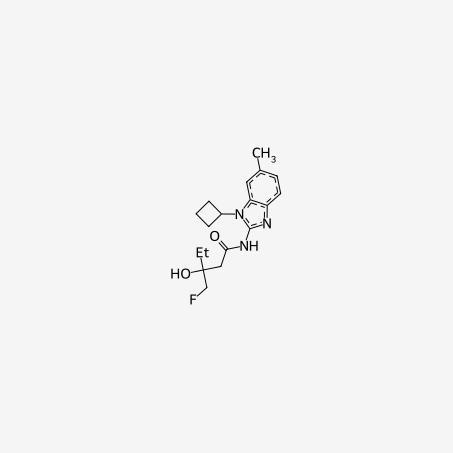 CCC(O)(CF)CC(=O)Nc1nc2ccc(C)cc2n1C1CCC1